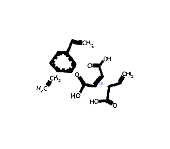 C=C.C=CCC(=O)O.C=Cc1ccccc1.O=C(O)/C=C\C(=O)O